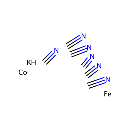 C#N.C#N.C#N.C#N.C#N.C#N.[Co].[Fe].[KH]